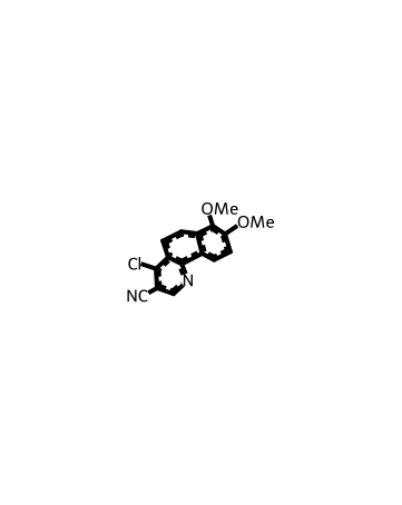 COc1ccc2c(ccc3c(Cl)c(C#N)cnc32)c1OC